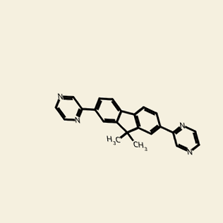 CC1(C)c2cc(-c3cnccn3)ccc2-c2ccc(-c3cnccn3)cc21